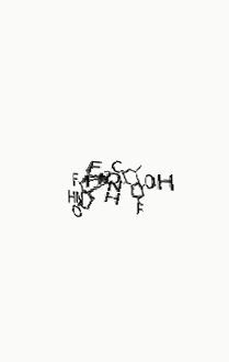 C[C@@H]1C[C@](O)(C(F)(F)F)[C@@H](Nc2ccc(F)c3[nH]c(=O)ccc23)c2cc(F)cc(O)c21